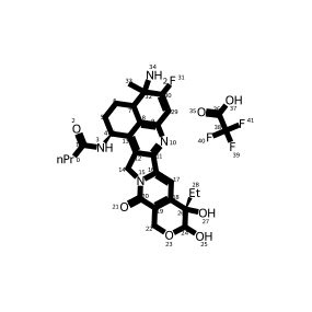 CCCC(=O)N[C@H]1CCC2c3c(nc4c(c31)Cn1c-4cc3c(c1=O)COC(O)[C@]3(O)CC)C=C(F)C2(C)N.O=C(O)C(F)(F)F